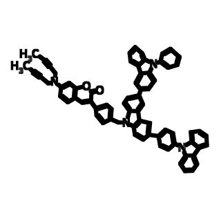 CC#CCN(CC#CC)c1ccc2cc(-c3ccc(Cn4c5ccc(-c6ccc(-n7c8ccccc8c8ccccc87)cc6)cc5c5cc(-c6ccc7c(c6)c6ccccc6n7-c6ccccc6)ccc54)cc3)c(=O)oc2c1